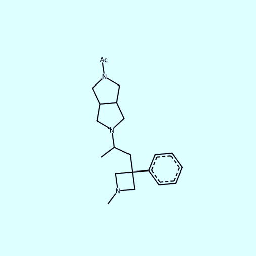 CC(=O)N1CC2CN(C(C)CC3(c4ccccc4)CN(C)C3)CC2C1